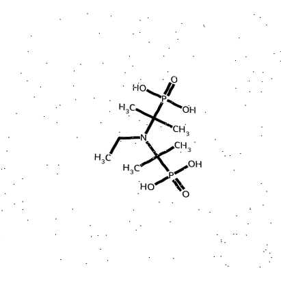 CCN(C(C)(C)P(=O)(O)O)C(C)(C)P(=O)(O)O